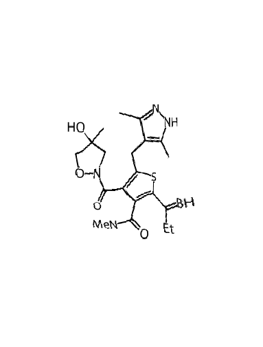 B=C(CC)c1sc(Cc2c(C)n[nH]c2C)c(C(=O)N2CC(C)(O)CO2)c1C(=O)NC